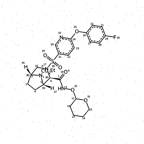 CCOC(=O)N1[C@@H]2CC[C@H]1[C@H](C(=O)NOC1CCCCO1)N(S(=O)(=O)c1ccc(Oc3ccc(F)cc3)nc1)C2